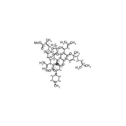 C=C(N)C(/C(N)=N\O)C1C2CC3C(C)(C)OC(C/C=C(/C)C(=O)OC)(C2=O)C32Oc3c(CC=C(C)C)c4c(c(OC(=O)CC(=O)N5CCN(C)CC5)c3C(=O)C12)C=CC(C)(CCC=C(C)C)O4